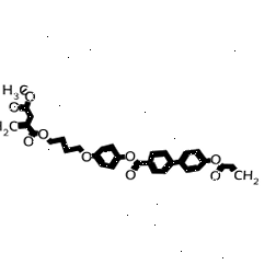 C=CC(=O)Oc1ccc(-c2ccc(C(=O)Oc3ccc(OCCCCOC(=O)C(=C)CC(=O)OC)cc3)cc2)cc1